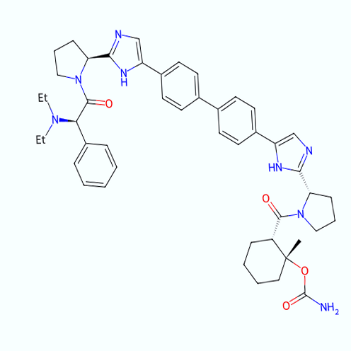 CCN(CC)[C@@H](C(=O)N1CCC[C@H]1c1ncc(-c2ccc(-c3ccc(-c4cnc([C@@H]5CCCN5C(=O)[C@H]5CCCC[C@@]5(C)OC(N)=O)[nH]4)cc3)cc2)[nH]1)c1ccccc1